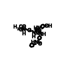 CS(=O)(=O)NCCOCCNc1nc(Nc2ccc(O)cc2)nc(Nc2ccc(C(=O)NCc3ccccc3)cc2)n1